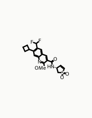 COc1nc2cc(C3CCC3)c(C(F)F)cc2cc1C(=O)N[C@@H]1C=CS(=O)(=O)C1